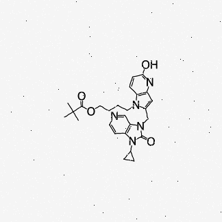 CC(C)(C)C(=O)OCCCCn1c(Cn2c(=O)n(C3CC3)c3ccncc32)cc2nc(O)ccc21